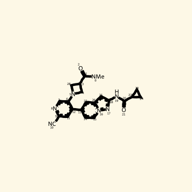 CNC(=O)C1CN(c2cnc(C#N)cc2-c2ccn3nc(NC(=O)C4CC4)cc3c2)C1